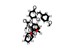 COc1ccc(CN2C(=O)CCC(n3c(=O)n(C)c4c(C5=CC6CCC(C5)N6C(=O)OC(C)(C)C)cccc43)C2=O)cc1